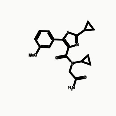 COc1cccc(-c2sc(C3CC3)nc2C(=O)N(CC(N)=O)C2CC2)c1